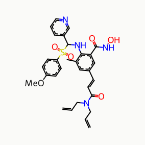 C=CCN(CC=C)C(=O)C=Cc1cc(C)c(NC(c2cccnc2)S(=O)(=O)c2ccc(OC)cc2)c(C(=O)NO)c1